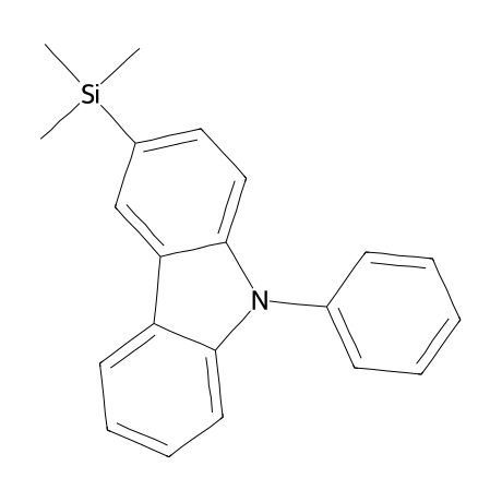 C[Si](C)(C)c1ccc2c(c1)c1ccccc1n2-c1ccccc1